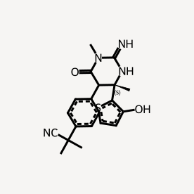 CN1C(=N)N[C@](C)(c2sccc2O)C(c2ccc(C(C)(C)C#N)cc2)C1=O